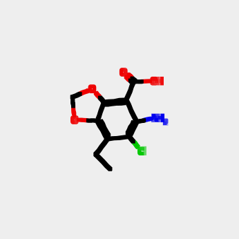 CCc1c(Cl)c(N)c(C(=O)O)c2c1OCO2